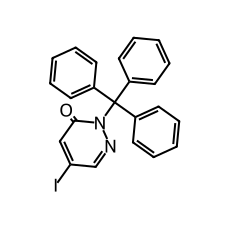 O=c1cc(I)cnn1C(c1ccccc1)(c1ccccc1)c1ccccc1